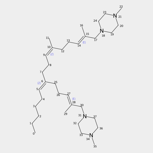 CCCCC/C=C(/CC/C=C(/C)CC/C=C(\C)CN1CCN(C)CC1)CC/C=C(\C)CN1CCN(C)CC1